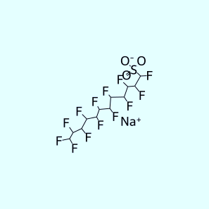 O=S(=O)([O-])C(F)C(F)C(F)C(F)C(F)C(F)C(F)C(F)C(F)C(F)C(F)C(F)F.[Na+]